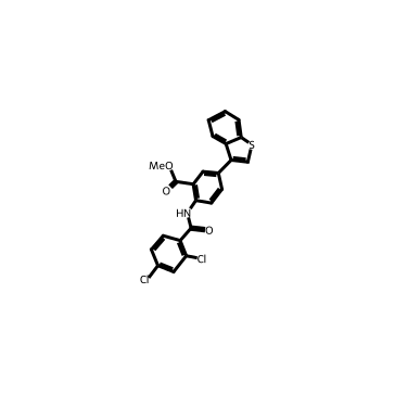 COC(=O)c1cc(-c2csc3ccccc23)ccc1NC(=O)c1ccc(Cl)cc1Cl